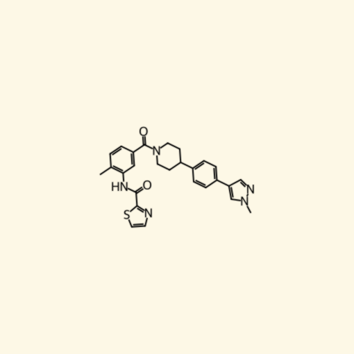 Cc1ccc(C(=O)N2CCC(c3ccc(-c4cnn(C)c4)cc3)CC2)cc1NC(=O)c1nccs1